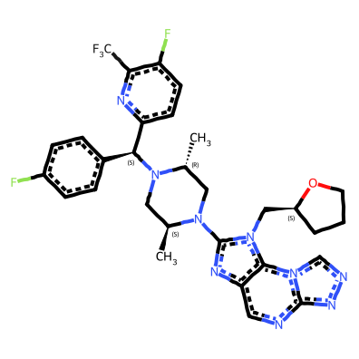 C[C@@H]1CN(c2nc3cnc4nncn4c3n2C[C@@H]2CCCO2)[C@@H](C)CN1[C@@H](c1ccc(F)cc1)c1ccc(F)c(C(F)(F)F)n1